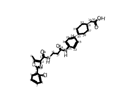 Cc1oc(-c2ccccc2Cl)nc1C(=O)NCCC(=O)Nc1ccc([C@H]2CC[C@H](CC(=O)O)CC2)cc1